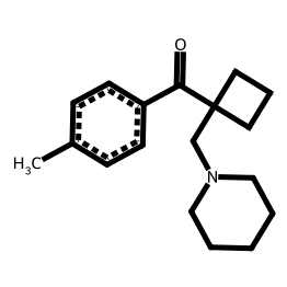 Cc1ccc(C(=O)C2(CN3CCCCC3)CCC2)cc1